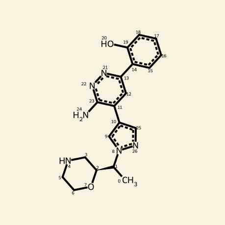 CC([C@@H]1CNCCO1)n1cc(-c2cc(-c3ccccc3O)nnc2N)cn1